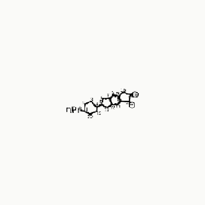 CCCC1CCC(C2Cc3cc4c(cc3C2)C(=O)C(=O)C4)CC1